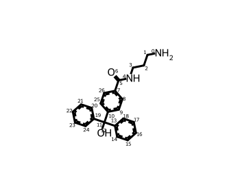 NCCCNC(=O)c1ccc(C(O)(c2ccccc2)c2ccccc2)cc1